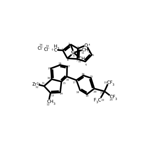 CC1=C2c3occc3C1[Si]2(C)C.CC1=Cc2c(-c3ccc(C(C(F)(F)F)(C(F)(F)F)C(F)(F)F)cc3)cccc2[CH]1[Zr+2].[Cl-].[Cl-]